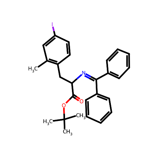 Cc1cc(I)ccc1CC(N=C(c1ccccc1)c1ccccc1)C(=O)OC(C)(C)C